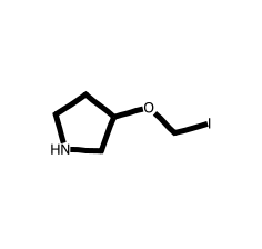 ICOC1CCNC1